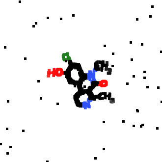 Cc1nccc2c1c(=O)n(C)c1cc(Cl)c(O)cc21